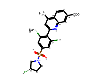 Cc1cc(-c2c(F)cc(S(=O)(=O)N3CC[C@H](F)C3)cc2F)nc2cc(C(=O)[O-])ccc12.[Na+]